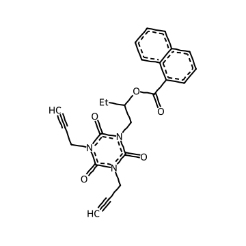 C#CCn1c(=O)n(CC#C)c(=O)n(CC(CC)OC(=O)c2cccc3ccccc23)c1=O